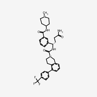 CN1CCC(NC(=O)c2cccc([C@H](CCC(N)=O)NC(=O)N3CCc4c(cccc4-c4ccc(C(F)(F)F)cc4)C3)c2)CC1